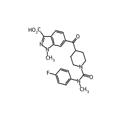 CN(C(=O)N1CCC(C(=O)c2ccc3c(C(=O)O)nn(C)c3c2)CC1)c1ccc(F)cc1